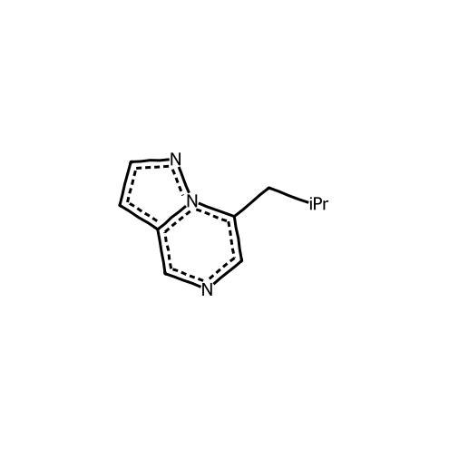 CC(C)Cc1cncc2ccnn12